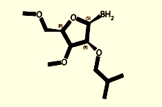 B[C@@H]1O[C@H](COC)C(OC)[C@@H]1OCC(C)C